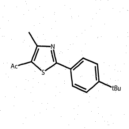 CC(=O)c1sc(-c2ccc(C(C)(C)C)cc2)nc1C